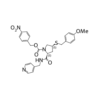 COc1ccc(CS[C@H]2C[C@@H](C(=O)NCc3ccncc3)N(C(=O)OCc3ccc([N+](=O)[O-])cc3)C2)cc1